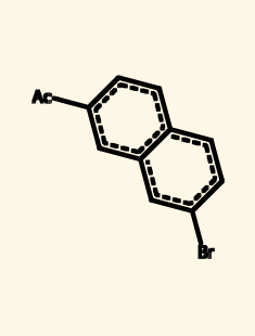 CC(=O)c1ccc2ccc(Br)cc2c1